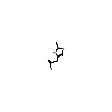 CCC(=O)CC1=NNN(C)N1